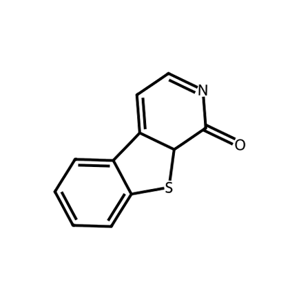 O=C1N=CC=C2c3ccccc3SC12